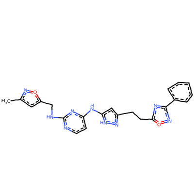 Cc1cc(CNc2nccc(Nc3cc(CCc4nc(-c5ccccc5)no4)n[nH]3)n2)on1